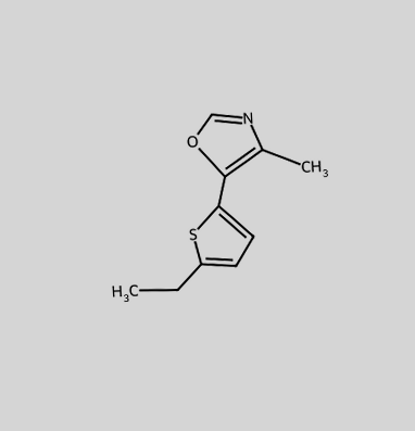 CCc1ccc(-c2ocnc2C)s1